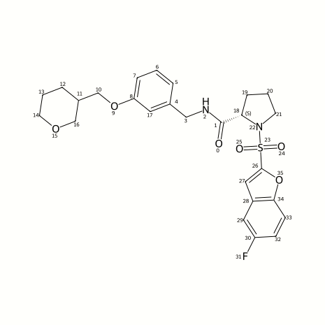 O=C(NCc1cccc(OCC2CCCOC2)c1)[C@@H]1CCCN1S(=O)(=O)c1cc2cc(F)ccc2o1